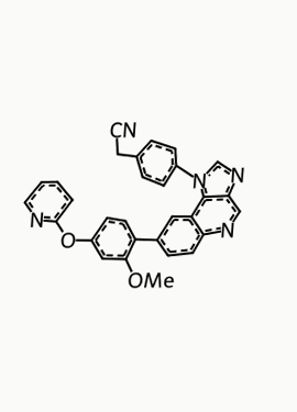 COc1cc(Oc2ccccn2)ccc1-c1ccc2ncc3ncn(-c4ccc(CC#N)cc4)c3c2c1